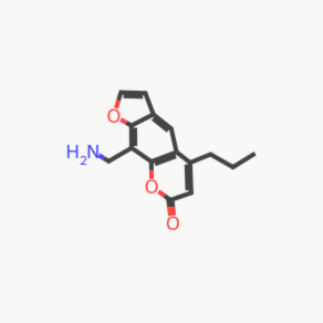 CCCc1cc(=O)oc2c(CN)c3occc3cc12